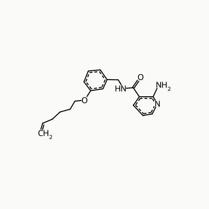 C=CCCCCOc1cccc(CNC(=O)c2cccnc2N)c1